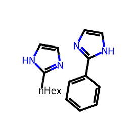 CCCCCCc1ncc[nH]1.c1ccc(-c2ncc[nH]2)cc1